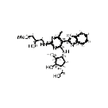 COCC(O)CNc1nc(C)c(-c2nc3ccccc3s2)c(N[C@@H]2C[C@H](CO)[C@@H](O)[C@H]2O)n1